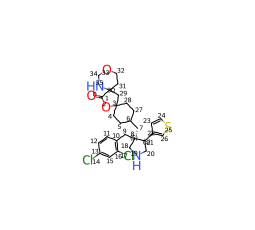 O=C1OC2(CCC(C[C@@]3(Cc4ccc(Cl)cc4Cl)CNC[C@@H]3c3ccsc3)CC2)CC12CCOCN2